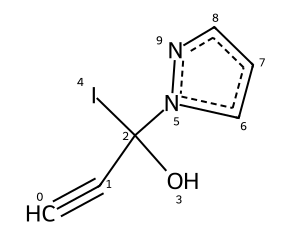 C#CC(O)(I)n1cccn1